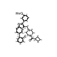 COc1cccc(-c2nc3ccc(-c4ccccc4F)cn3c2CN2CCN(C(=O)C3CCC3)CC2)c1